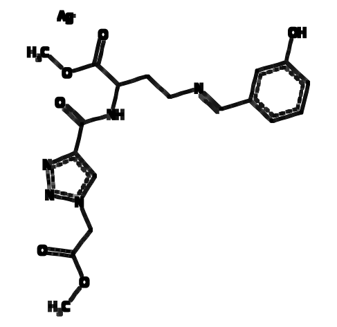 COC(=O)Cn1cc(C(=O)NC(CC/N=C/c2cccc(O)c2)C(=O)OC)nn1.[Ag]